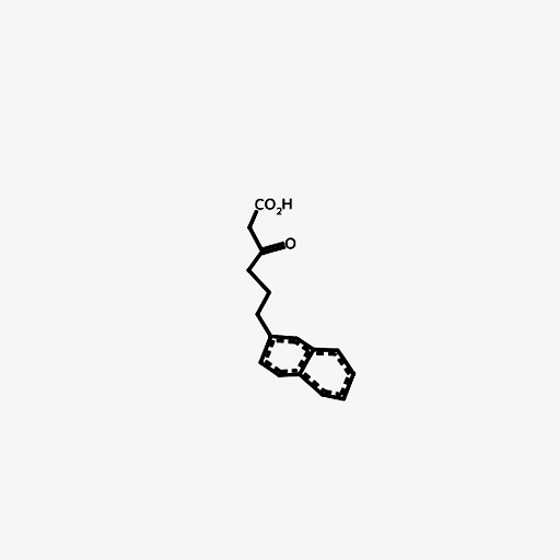 O=C(O)CC(=O)CCCc1ccc2ccccc2c1